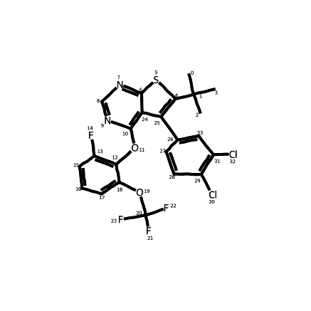 CC(C)(C)c1sc2ncnc(Oc3c(F)cccc3OC(F)(F)F)c2c1-c1ccc(Cl)c(Cl)c1